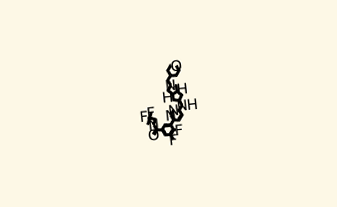 O=C(c1cc(F)c(F)c(-c2ccc(NC3C[C@@H]4CN(CC5CCOCC5)C[C@@H]4C3)nn2)c1)N1CC(F)(F)C1